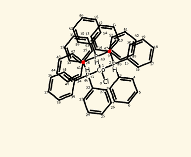 [Cl][Co]([PH](c1ccccc1)(c1ccccc1)c1ccccc1)([PH](c1ccccc1)(c1ccccc1)c1ccccc1)[PH](c1ccccc1)(c1ccccc1)c1ccccc1